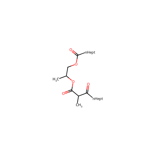 CCCCCCCC(=O)OCC(C)OC(=O)C(C)C(=O)CCCCCCC